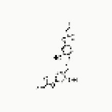 CCCC(=O)Oc1ccc(CCCc2ccc(OC(=O)CCC)cc2O)c(O)c1